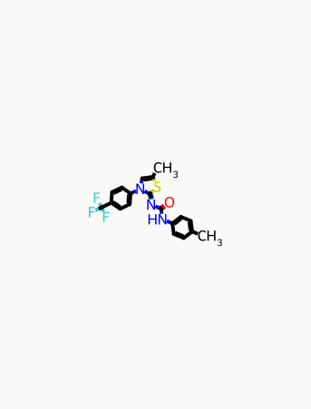 Cc1ccc(NC(=O)/N=c2\sc(C)cn2-c2ccc(C(F)(F)F)cc2)cc1